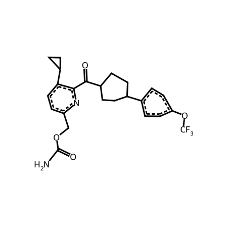 NC(=O)OCc1ccc(C2CC2)c(C(=O)C2CCC(c3ccc(OC(F)(F)F)cc3)CC2)n1